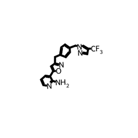 Nc1ncccc1-c1cc(Cc2ccc(Cn3cc(C(F)(F)F)cn3)cc2)no1